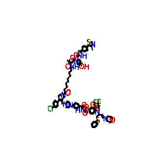 Cc1ncsc1-c1ccc([C@H](C)NC(=O)[C@@H]2C[C@@H](O)CN2C(=O)C(NC(=O)CCCCCCCCC(=O)N2CCC(c3ccc(Cl)cc3)=C(CN3CCN(c4ccc(C(=O)NS(=O)(=O)c5ccc(NC(CCN6CCOCC6)CSc6ccccc6)c(S(=O)(=O)C(F)(F)F)c5)cc4)CC3)C2)C(C)(C)C)cc1